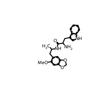 COc1cc2c(cc1CC(C)NC(=O)C(N)Cc1c[nH]c3ccccc13)OCO2